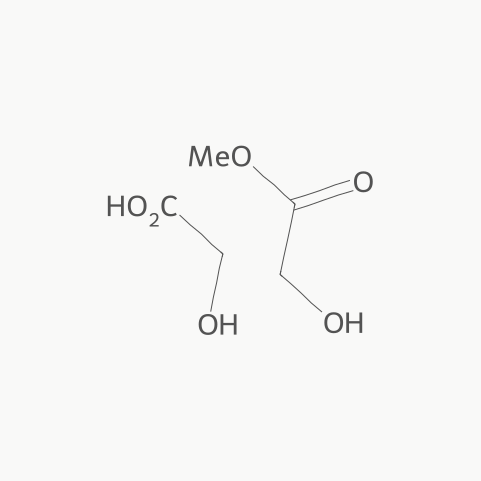 COC(=O)CO.O=C(O)CO